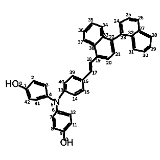 Oc1ccc(N(c2ccc(O)cc2)c2ccc(C=Cc3ccc(-c4cccc5ccccc45)c4ccccc34)cc2)cc1